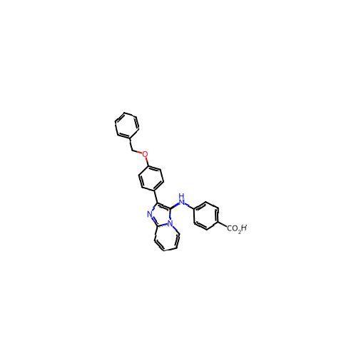 O=C(O)c1ccc(Nc2c(-c3ccc(OCc4ccccc4)cc3)nc3ccccn23)cc1